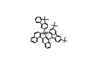 CC(C)(C)c1ccc2c(c1)c1cc(C(C)(C)C)cc3c1n2-c1c(c(-c2c(Nc4ccc5c(c4)-c4ccccc4C5(C)C)ccc4ccccc24)cc2ccccc12)B3